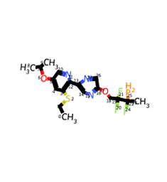 CCSc1cc(OC(C)C)cnc1-c1cnc(OCC(F)(F)C(C)(F)P)cn1